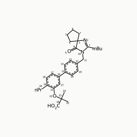 CCCCC1=NC2(CCCC2)C(=O)N1Cc1ccc(-c2ccc(CCC)c(OC(C)(C)C(=O)O)c2)cc1